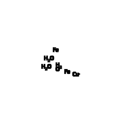 O.O.O.[Cu].[Fe].[Fe]